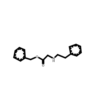 O=C(CNCCc1ccccc1)OCc1ccccc1